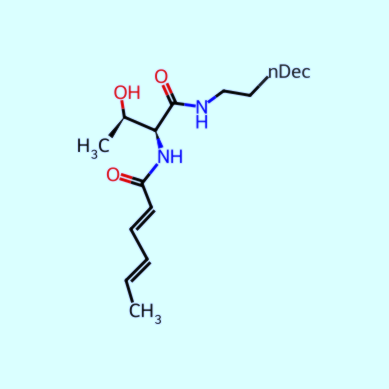 CC=CC=CC(=O)N[C@H](C(=O)NCCCCCCCCCCCC)[C@@H](C)O